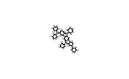 c1ccc(-c2ccc3c4cc5c(cc4n(-c4ccccc4)c3c2)c2cc(N(c3ccccc3)c3ccccc3)ccc2n5-c2ccccc2)cc1